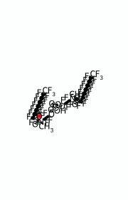 CN(C(F)(F)C(F)(F)OOP(=O)(O)OOC(F)(F)C(F)(F)N(C)S(=O)(=O)C(F)(F)C(F)(F)C(F)(F)C(F)(F)C(F)(F)C(F)(F)C(F)(F)C(F)(F)F)S(=O)(=O)C(F)(F)C(F)(F)C(F)(F)C(F)(F)C(F)(F)C(F)(F)C(F)(F)C(F)(F)F